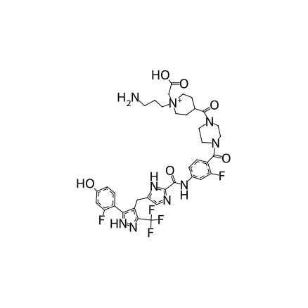 NCCC[N+]1(CC(=O)O)CCC(C(=O)N2CCN(C(=O)c3ccc(NC(=O)c4ncc(Cc5c(C(F)(F)F)n[nH]c5-c5ccc(O)cc5F)[nH]4)cc3F)CC2)CC1